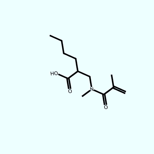 C=C(C)C(=O)N(C)CC(CCCC)C(=O)O